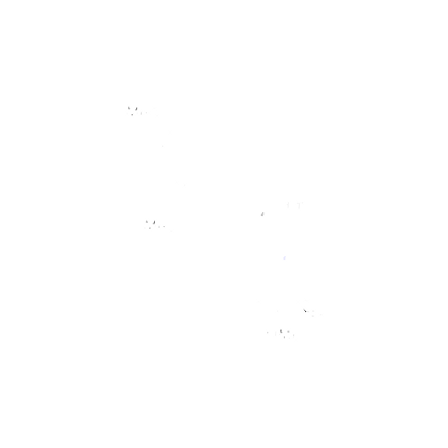 COCCCOc1cc(C[C@@H](C/C=C/C[C@H](C(=O)OC)C(C)C)C(C)C)ccc1OC